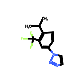 CC(C)c1ccc(-n2ccnn2)cc1C(F)(F)F